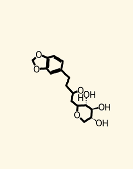 OC(CCc1ccc2c(c1)OCO2)CC1OC[C@@H](O)[C@H](O)[C@H]1O